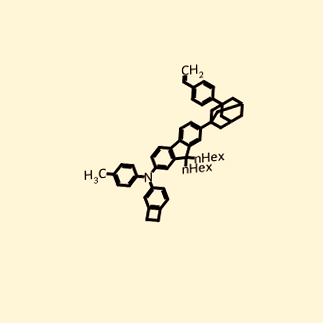 C=Cc1ccc(C23CC4CC(C2)CC(c2ccc5c(c2)C(CCCCCC)(CCCCCC)c2cc(N(c6ccc(C)cc6)c6ccc7c(c6)CC7)ccc2-5)(C4)C3)cc1